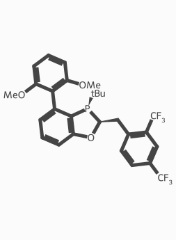 COc1cccc(OC)c1-c1cccc2c1[P@@](C(C)(C)C)[C@@H](Cc1ccc(C(F)(F)F)cc1C(F)(F)F)O2